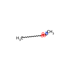 CCCCCCCCCCCCCCCCCCOC(=O)OC1C[CH]N(CC)C1